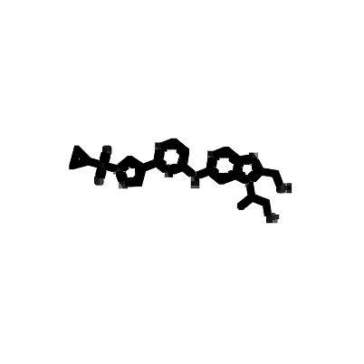 CC(C)CC(C)n1c(CO)nc2cnc(Nc3ccnc(-c4cnn(S(=O)(=O)C5CC5)c4)n3)cc21